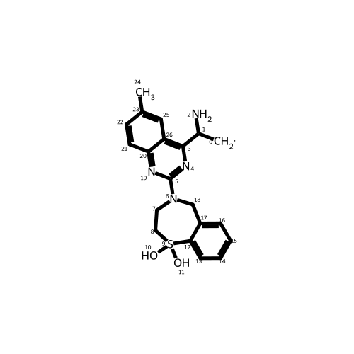 [CH2]C(N)c1nc(N2CCS(O)(O)c3ccccc3C2)nc2ccc(C)cc12